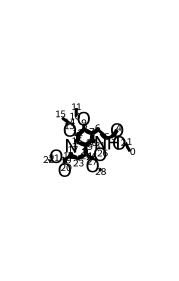 CCOC(=O)c1cc2c(OCC)c(OCC)c3nc(C(=O)OC)cc(C(=O)OC)c3c2[nH]1